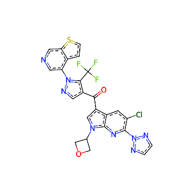 O=C(c1cnn(-c2cncc3sccc23)c1C(F)(F)F)c1cn(C2COC2)c2nc(-n3nccn3)c(Cl)cc12